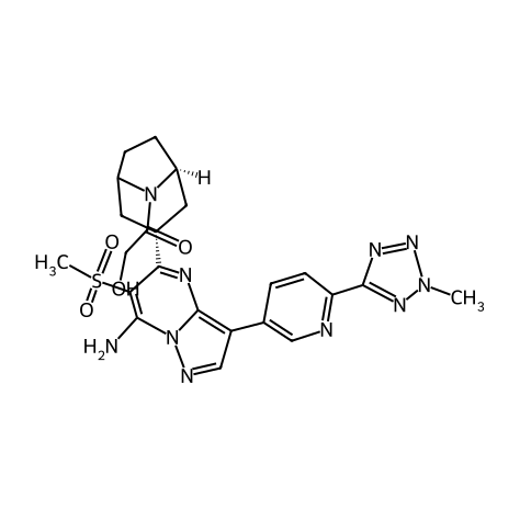 Cn1nnc(-c2ccc(-c3cnn4c(N)c(S(C)(=O)=O)c([C@@H]5CC6CC[C@@H](C5)N6C(=O)CO)nc34)cn2)n1